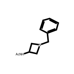 CC(=O)NC1CN(Cc2ccccc2)C1